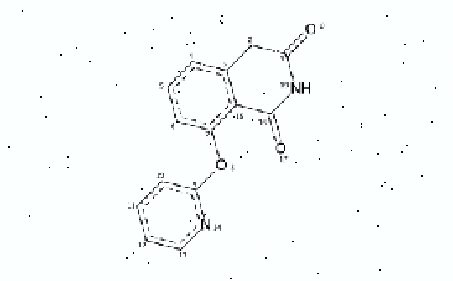 O=C1Cc2cccc(Oc3ccccn3)c2C(=O)N1